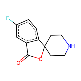 O=C1OC2(CCNCC2)c2ccc(F)cc21